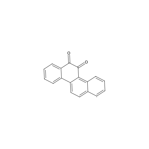 O=C1C(=O)c2c(ccc3[c]cccc23)-c2ccccc21